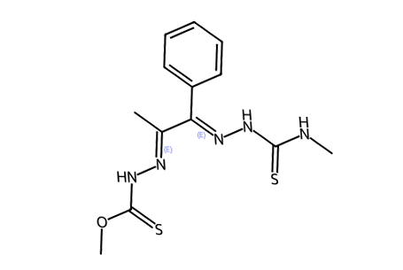 CNC(=S)N/N=C(/C(C)=N/NC(=S)OC)c1ccccc1